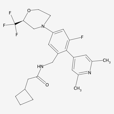 Cc1cc(-c2c(F)cc(N3CCO[C@H](C(F)(F)F)C3)cc2CNC(=O)CC2CCC2)cc(C)n1